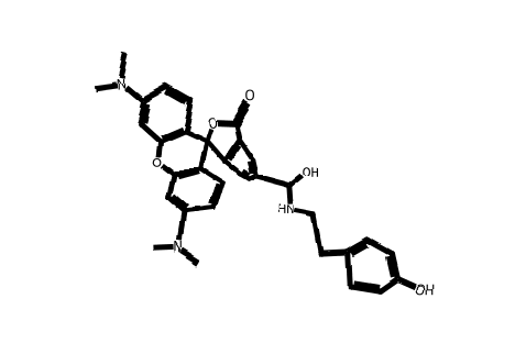 CN(C)c1ccc2c(c1)Oc1cc(N(C)C)ccc1C21OC(=O)c2cc(C(O)NCCc3ccc(O)cc3)ccc21